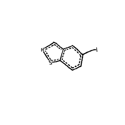 Ic1ccc2sncc2c1